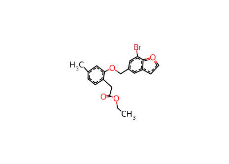 CCOC(=O)Cc1ccc(C)cc1OCc1cc(Br)c2occc2c1